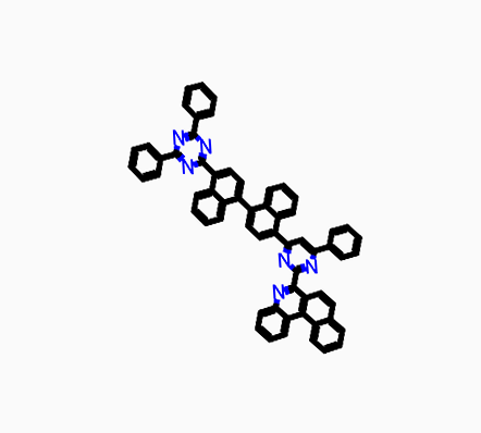 c1ccc(-c2cc(-c3ccc(-c4ccc(-c5nc(-c6ccccc6)nc(-c6ccccc6)n5)c5ccccc45)c4ccccc34)nc(-c3nc4ccccc4c4c3ccc3ccccc34)n2)cc1